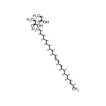 C=CC(=O)O.C=CC(=O)O.CCCCCCCCCCCCSCCCCCCCCCCCC